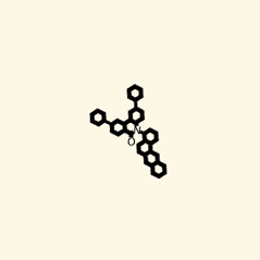 O=c1c2ccc(-c3ccccc3)cc2c2cc(-c3ccccc3)ccc2n1-c1cccc2c1ccc1cc3ccccc3cc12